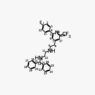 Cc1ccc(-c2cc(CCNCCNC(c3ccccc3)c3ccccc3)cc(C(F)(F)F)n2)cc1